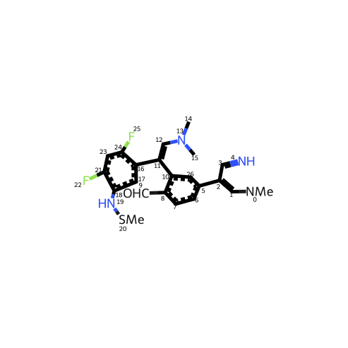 CN/C=C(\C=N)c1ccc(C=O)c(/C(=C\N(C)C)c2cc(NSC)c(F)cc2F)c1